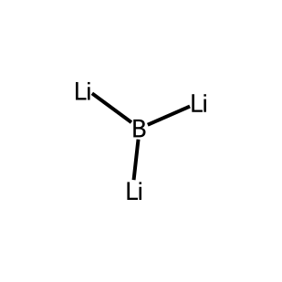 [Li][B]([Li])[Li]